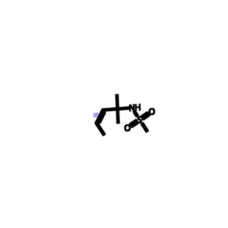 C/C=C\C(C)(C)NS(C)(=O)=O